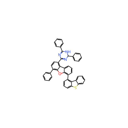 c1ccc(C2=NC(c3ccc(-c4ccccc4)c4oc5c(-c6cccc7sc8ccccc8c67)cccc5c34)=NC(c3ccccc3)N2)cc1